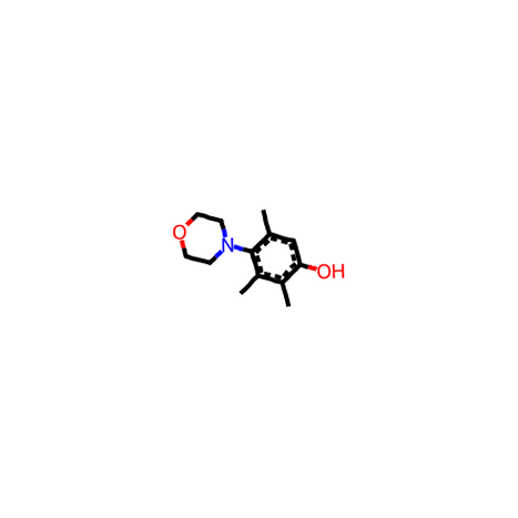 Cc1cc(O)c(C)c(C)c1N1CCOCC1